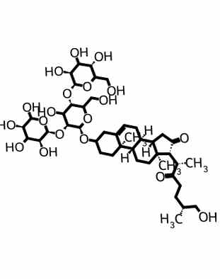 C[C@@H](CO)CCC(=O)[C@@H](C)[C@H]1C(=O)C[C@H]2[C@@H]3CC=C4CC(O[C@@H]5OC(CO)[C@@H](O[C@@H]6OC(CO)[C@@H](O)C(O)[C@@H]6O)C(O)[C@@H]5O[C@@H]5OC(O)[C@H](O)C(O)[C@@H]5O)CC[C@]4(C)[C@H]3CC[C@]12C